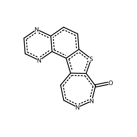 O=c1nnccc2c1sc1ccc3nccnc3c12